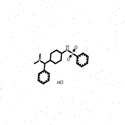 CN(C)C(c1ccccc1)C1CCC(NS(=O)(=O)c2ccccc2)CC1.Cl